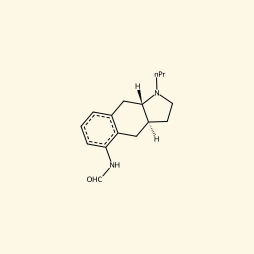 CCCN1CC[C@H]2Cc3c(cccc3NC=O)C[C@@H]21